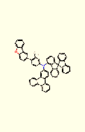 Cc1cc(N(c2ccc3c4ccccc4c4ccccc4c3c2)c2cccc3c2-c2ccccc2C32c3ccccc3-c3ccccc32)ccc1-c1ccc2oc3ccccc3c2c1